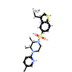 Cc1ccc(N2CCN(S(=O)(=O)c3ccc4scc(CC(=O)O)c4c3)[C@H](C)[C@@H]2C)nc1